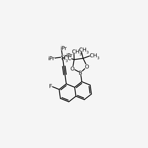 CC(C)[Si](C#Cc1c(F)ccc2cccc(B3OC(C)(C)C(C)(C)O3)c12)(C(C)C)C(C)C